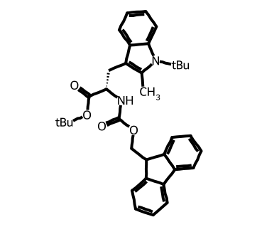 Cc1c(C[C@H](NC(=O)OCC2c3ccccc3-c3ccccc32)C(=O)OC(C)(C)C)c2ccccc2n1C(C)(C)C